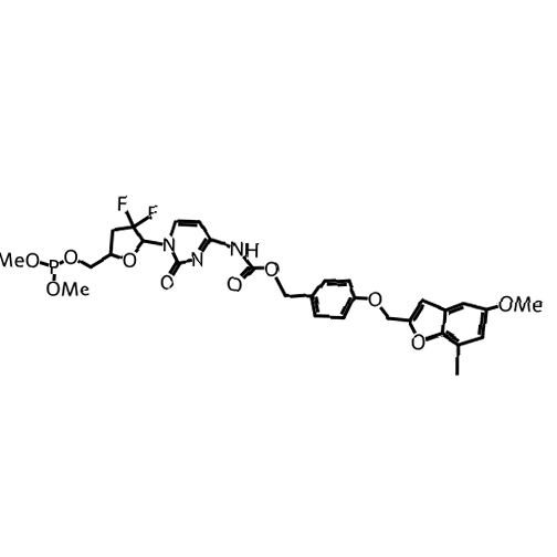 COc1cc(C)c2oc(COc3ccc(COC(=O)Nc4ccn(C5OC(COP(OC)OC)CC5(F)F)c(=O)n4)cc3)cc2c1